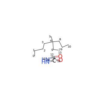 CCCCC(C)(CC)CCC.N=C=O.N=C=O